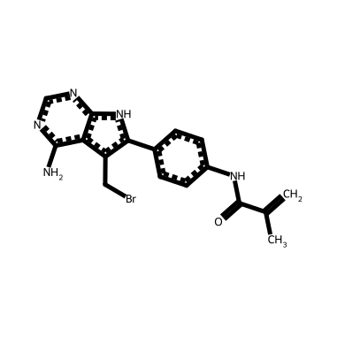 C=C(C)C(=O)Nc1ccc(-c2[nH]c3ncnc(N)c3c2CBr)cc1